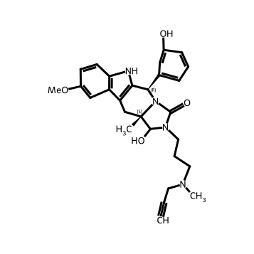 C#CCN(C)CCCN1C(=O)N2[C@H](c3cccc(O)c3)c3[nH]c4ccc(OC)cc4c3C[C@@]2(C)C1O